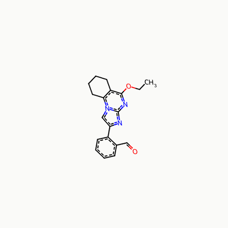 CCOc1nc2nc(-c3ccccc3C=O)cn2c2c1CCCC2